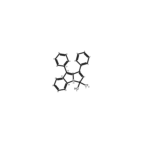 OC1(C(F)(F)F)C=C(c2ccccc2)c2c(-c3ccccc3)c3ccccc3n21